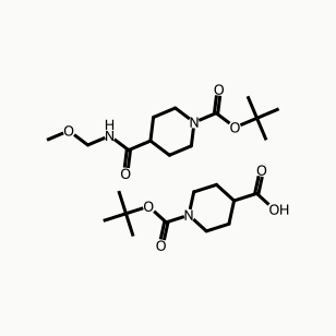 CC(C)(C)OC(=O)N1CCC(C(=O)O)CC1.COCNC(=O)C1CCN(C(=O)OC(C)(C)C)CC1